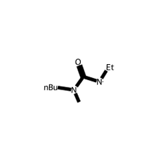 CCCCN(C)C(=O)[N]CC